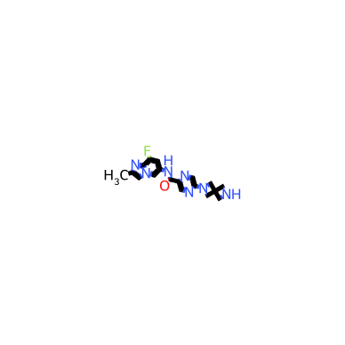 Cc1cn2cc(NC(=O)c3cnc(N4CC5(CNC5)C4)cn3)cc(F)c2n1